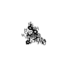 CCC(C)[C@H](NC(=O)Cc1ccccc1F)C(=O)N[C@]1(C(=O)N[C@H](C(=S)NCN2CCOCC2)C(C)CC)CCc2[nH]c3c(C(F)(F)F)cccc3c2C1